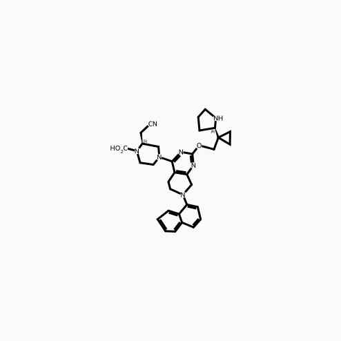 N#CC[C@H]1CN(c2nc(OCC3([C@H]4CCCN4)CC3)nc3c2CCN(c2cccc4ccccc24)C3)CCN1C(=O)O